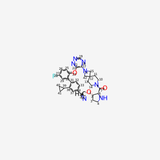 CO[C@H]1CCN[C@@H]1C(=O)N1CCC2(CC1)CN(c1ncnnc1Oc1ccc(F)cc1-c1ccc(C#N)cc1C1CC1)C2